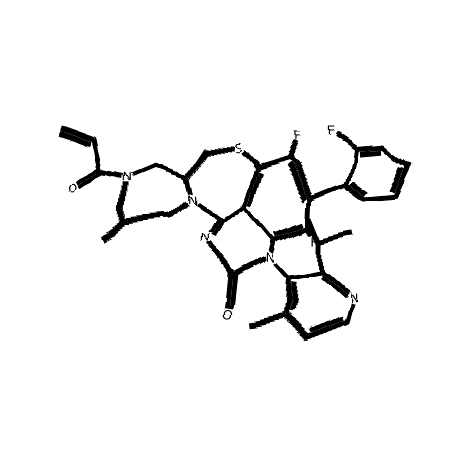 C=CC(=O)N1CC2CSc3c(F)c(-c4ccccc4F)c(F)c4c3c(nc(=O)n4-c3c(C)ccnc3C(C)C)N2CC1C